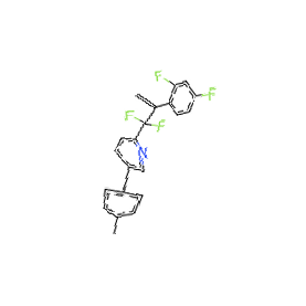 C=C(c1ccc(F)cc1F)C(F)(F)c1ccc(-c2ccc(C)cc2)cn1